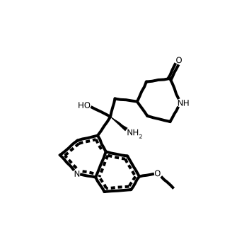 COc1ccc2nccc([C@](N)(O)CC3CCNC(=O)C3)c2c1